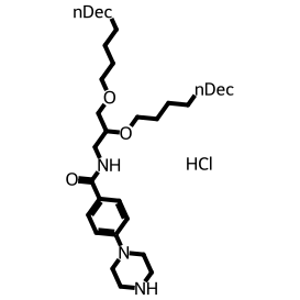 CCCCCCCCCCCCCCOCC(CNC(=O)c1ccc(N2CCNCC2)cc1)OCCCCCCCCCCCCCC.Cl